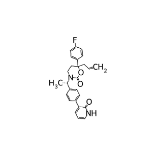 C=CCC1(c2ccc(F)cc2)CCN([C@@H](C)c2ccc(-c3ccc[nH]c3=O)cc2)C(=O)O1